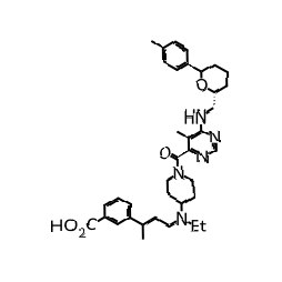 CCN(CCC(C)c1cccc(C(=O)O)c1)C1CCN(C(=O)c2ncnc(NC[C@H]3CCCC(c4ccc(C)cc4)O3)c2C)CC1